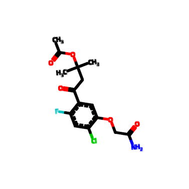 CC(=O)OC(C)(C)CC(=O)c1cc(OCC(N)=O)c(Cl)cc1F